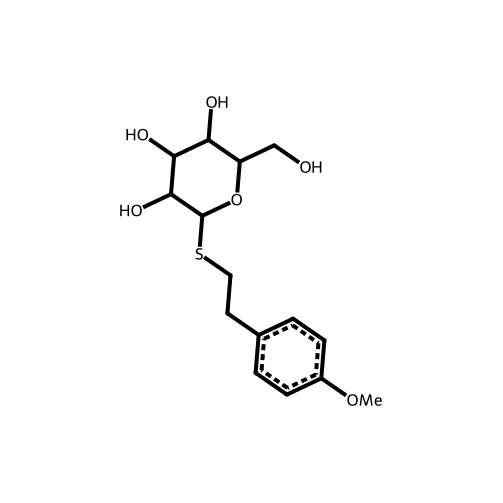 COc1ccc(CCSC2OC(CO)C(O)C(O)C2O)cc1